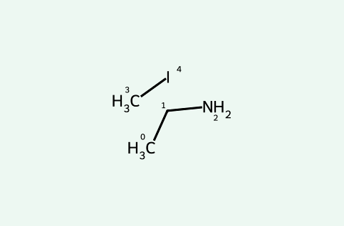 CCN.CI